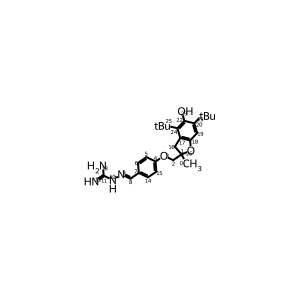 CC1(COc2ccc(C=NNC(=N)N)cc2)Cc2c(cc(C(C)(C)C)c(O)c2C(C)(C)C)O1